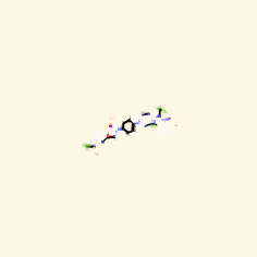 CC1(F)CN(c2ccc(N3CC(CNC(=O)C(F)(F)F)OC3=O)cc2)CCN1C(NC=O)C(F)(F)F